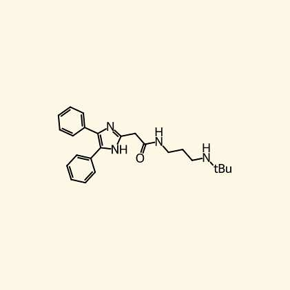 CC(C)(C)NCCCNC(=O)Cc1nc(-c2ccccc2)c(-c2ccccc2)[nH]1